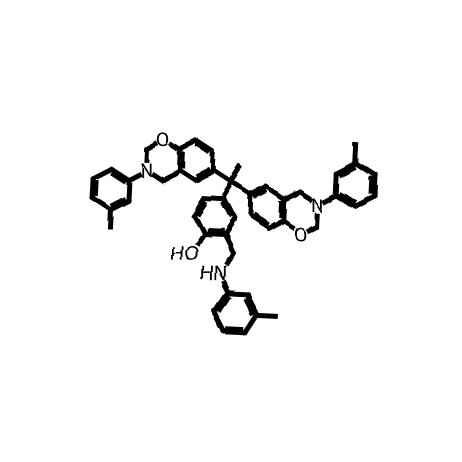 Cc1cccc(NCc2cc(C(C)(c3ccc4c(c3)CN(c3cccc(C)c3)CO4)c3ccc4c(c3)CN(c3cccc(C)c3)CO4)ccc2O)c1